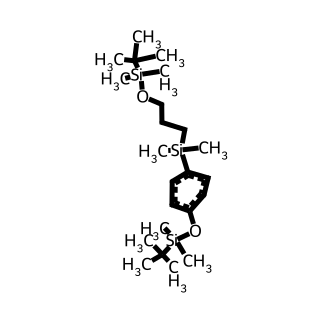 CC(C)(C)[Si](C)(C)OCCC[Si](C)(C)c1ccc(O[Si](C)(C)C(C)(C)C)cc1